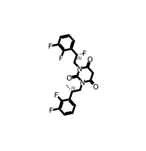 C[C@H](CN1C(=O)CC(=O)N(C[C@@H](F)c2cccc(F)c2F)C1=O)c1cccc(F)c1F